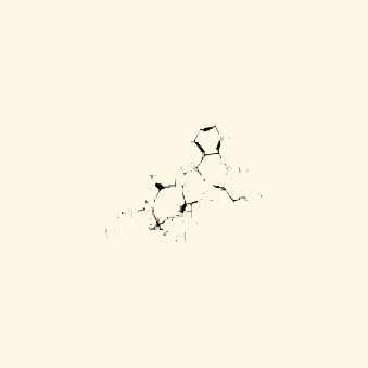 C=C(S)N(C[C@H](OCCC#N)c1ccccc1OC)C(=O)N(C(C)C)C(C)(C)C(=O)O